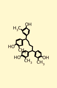 Cc1cc(C(CCCC(c2ccc(O)c(C)c2)c2ccc(O)c(C)c2)c2ccc(O)c(C)c2)ccc1O